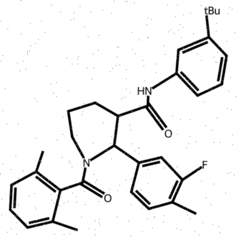 Cc1ccc(C2C(C(=O)Nc3cccc(C(C)(C)C)c3)CCCN2C(=O)c2c(C)cccc2C)cc1F